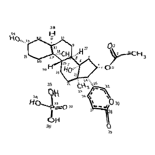 CC(=O)O[C@H]1C[C@]2(O)[C@@H]3CC[C@@H]4C[C@@H](O)CC[C@]4(C)[C@H]3CC[C@]2(C)[C@H]1c1ccc(=O)oc1.O=P(O)(O)O